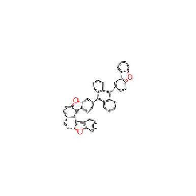 c1ccc2c(c1)oc1ccc(-c3c4ccccc4c(-c4ccc5c(c4)oc4ccc6ccc7oc8ccccc8c7c6c45)c4ccccc34)cc12